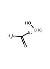 CCC(N)=O.O=CO